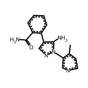 Cc1ccncc1-n1ncc(-c2ccccc2C(N)=O)c1N